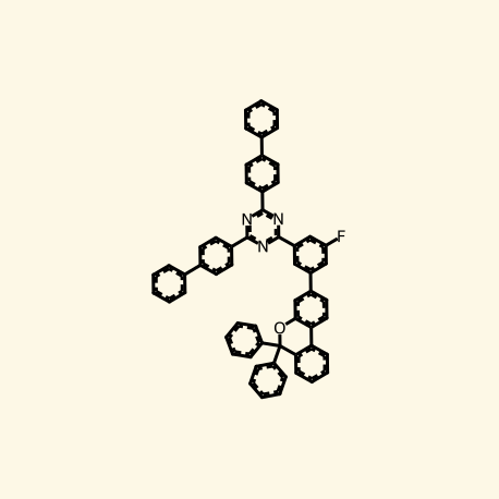 Fc1cc(-c2ccc3c(c2)OC(c2ccccc2)(c2ccccc2)c2ccccc2-3)cc(-c2nc(-c3ccc(-c4ccccc4)cc3)nc(-c3ccc(-c4ccccc4)cc3)n2)c1